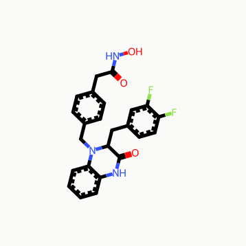 O=C(Cc1ccc(CN2c3ccccc3NC(=O)C2Cc2ccc(F)c(F)c2)cc1)NO